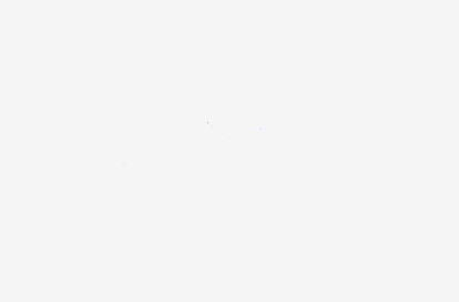 Cc1cc(NC(=O)/C=C/Cc2cccs2)cc(C)c1O